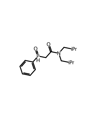 CC(C)CN(CC(C)C)C(=O)C[PH](=O)c1ccccc1